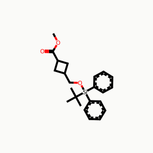 COC(=O)C1CC(CO[Si](c2ccccc2)(c2ccccc2)C(C)(C)C)C1